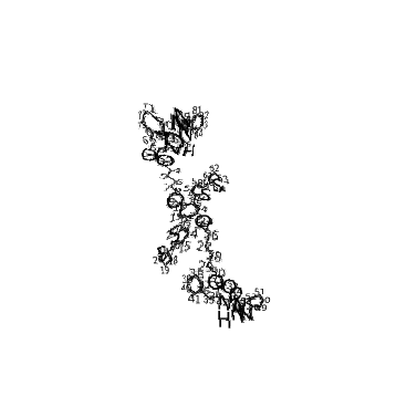 O=C(OCCCCCCOc1cc(-c2ccc(-c3cccs3)s2)c(OCCCCCCOC(=O)[C@H](Cc2ccccc2)NC(=O)n2nnc3ccccc32)cc1-c1ccc(-c2cccs2)s1)[C@H](Cc1ccccc1)NOCn1nnc2ccccc21